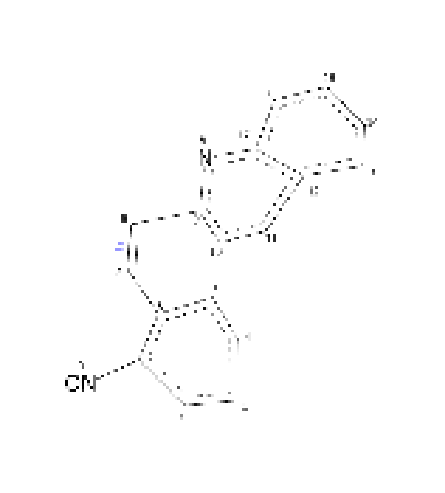 O=Nc1ccccc1/C=C\c1ccc2ccccc2n1